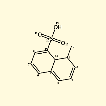 CC1C=CC=C2C=CC=C(S(=O)(=O)O)C21